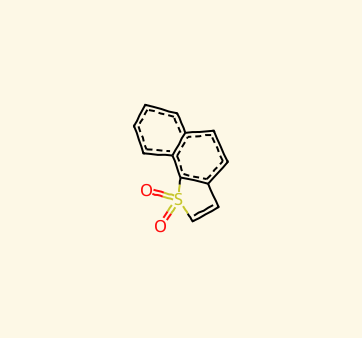 O=S1(=O)C=Cc2ccc3ccccc3c21